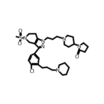 CS(=O)(=O)N1CCc2c(c(-c3ccc(Cl)c(CCCN4CCCCC4)c3)nn2CCCN2CCC(N3CCCC3=O)CC2)C1